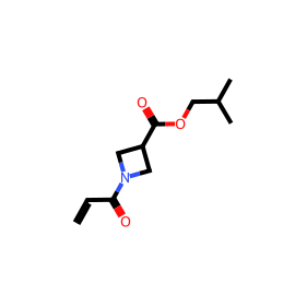 C=CC(=O)N1CC(C(=O)OCC(C)C)C1